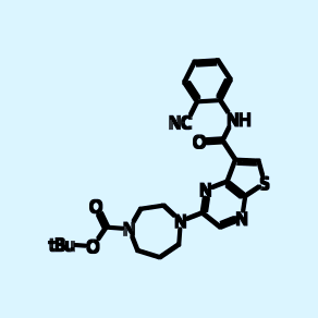 CC(C)(C)OC(=O)N1CCCN(c2cnc3scc(C(=O)Nc4ccccc4C#N)c3n2)CC1